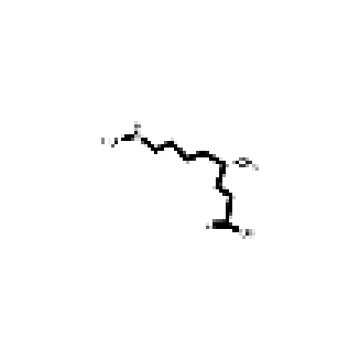 CNCCCC[C@H](C)CCC(=O)O